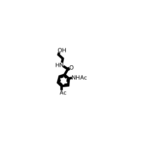 CC(=O)Nc1cc(C(C)=O)ccc1C(=O)NCCO